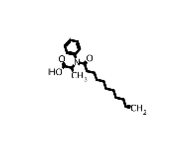 C=CCCCCCCCCC(=O)N(c1ccccc1)C(C)C(=O)O